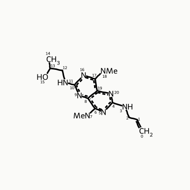 C=CCNc1nc(NC)c2nc(NCC(C)O)nc(NC)c2n1